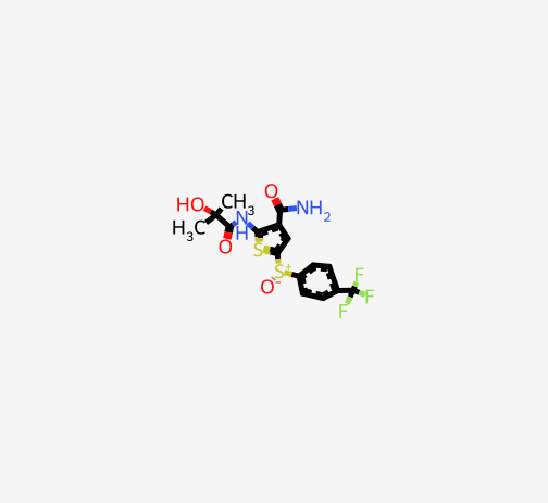 CC(C)(O)C(=O)Nc1sc([S+]([O-])c2ccc(C(F)(F)F)cc2)cc1C(N)=O